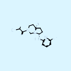 CCC(CC)C(=O)N1CC[C@@H]2CC[C@@H](Nc3cccc(C(F)(F)F)n3)N2C1